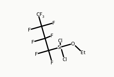 CCO[Si](Cl)(Cl)C(F)(F)C(F)(F)C(F)(F)C(F)(F)F